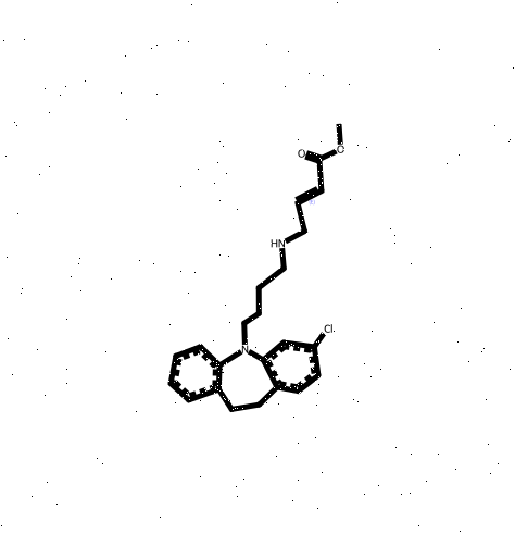 COC(=O)/C=C/CNCCCCN1c2ccccc2CCc2ccc(Cl)cc21